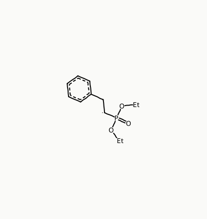 CCOP(=O)([CH]Cc1ccccc1)OCC